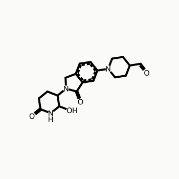 O=CC1CCN(c2ccc3c(c2)C(=O)N(C2CCC(=O)NC2O)C3)CC1